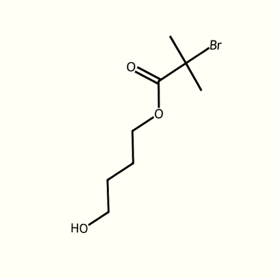 CC(C)(Br)C(=O)OCCCCO